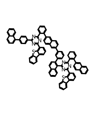 C1=CC(c2ccc3ccccc3c2)=C(c2nc(-c3c(-c4cccc(-c5ccc6cc(-c7ccccc7-c7nc(-c8ccc(-c9cccc%10ccccc9%10)cc8)nc(-c8cccc9c8sc8ccccc89)n7)ccc6c5)c4)ccc4ccccc34)nc(-c3cccc4c3sc3ccccc34)n2)CC1